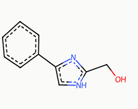 OCc1nc(-c2ccccc2)c[nH]1